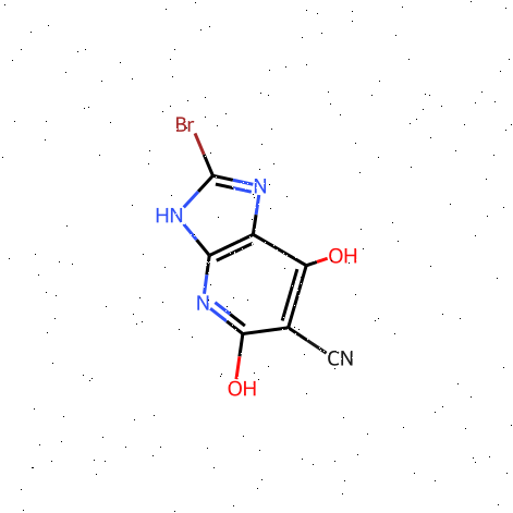 N#Cc1c(O)nc2[nH]c(Br)nc2c1O